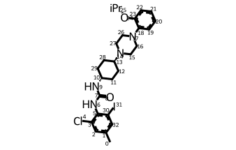 Cc1cc(Cl)c(NC(=O)N[C@H]2CC[C@H](N3CCN(c4ccccc4OC(C)C)CC3)CC2)c(I)c1